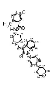 Cc1ncc(Cl)cc1C(=O)N[C@H]1CC[C@H](Cn2c(=O)n(-c3ccc(C4CCOCC4)nc3)c3ccccc32)CC1